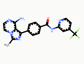 Cc1nc(-c2ccc(C(=O)Nc3cc(C(F)(F)F)ccn3)cc2)c2c(N)nccn12